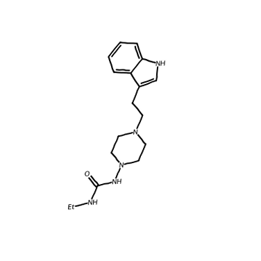 CCNC(=O)NN1CCN(CCc2c[nH]c3ccccc23)CC1